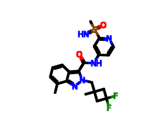 Cc1cccc2c(C(=O)Nc3ccnc(S(C)(=N)=O)c3)n(CC3(C)CC(F)(F)C3)nc12